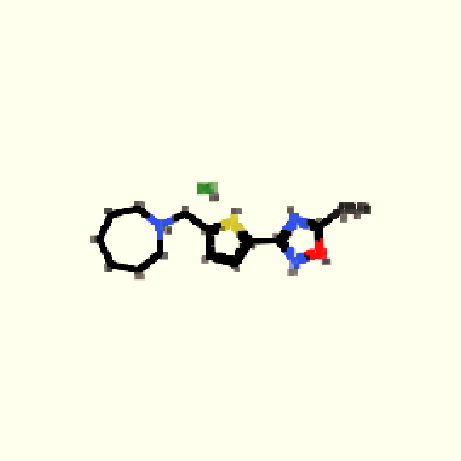 CCOC(=O)c1nc(-c2ccc(CN3CCCCCC3)s2)no1.Cl